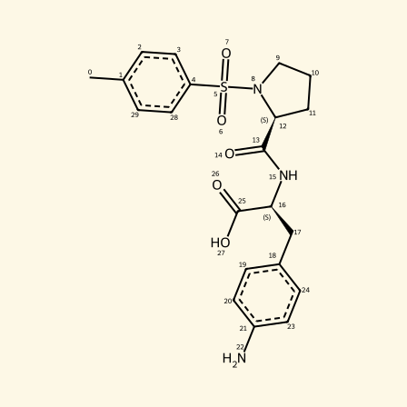 Cc1ccc(S(=O)(=O)N2CCC[C@H]2C(=O)N[C@@H](Cc2ccc(N)cc2)C(=O)O)cc1